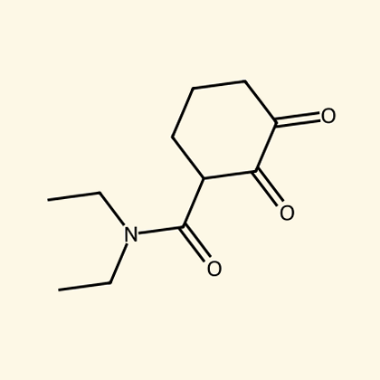 CCN(CC)C(=O)C1CCCC(=O)C1=O